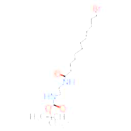 CC(C)(C)OC(=O)NCCNC(=O)CCCCCCCCCCCBr